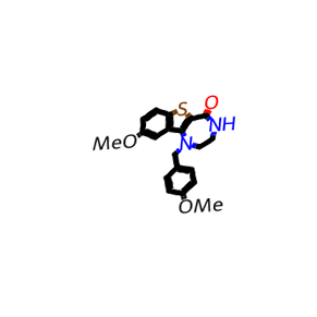 COc1ccc(CN2CCNC(=O)c3sc4ccc(OC)cc4c32)cc1